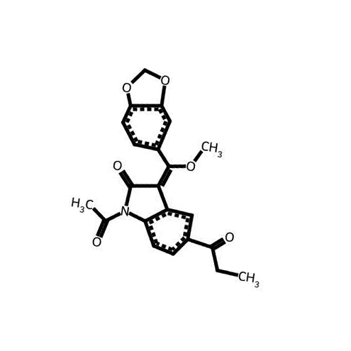 CCC(=O)c1ccc2c(c1)C(=C(OC)c1ccc3c(c1)OCO3)C(=O)N2C(C)=O